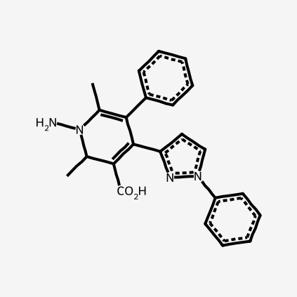 CC1=C(c2ccccc2)C(c2ccn(-c3ccccc3)n2)=C(C(=O)O)C(C)N1N